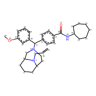 C=CCN1C2CCCC1CN(C(c1ccc(C(=O)NC3CCCCCC3)cc1)c1cccc(OC)c1)CC2